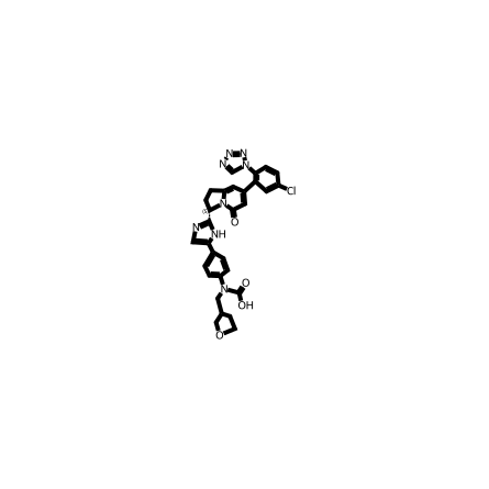 O=C(O)N(CC1CCOC1)c1ccc(-c2cnc([C@@H]3CCc4cc(-c5cc(Cl)ccc5-n5cnnn5)cc(=O)n43)[nH]2)cc1